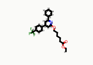 CCOC(=O)CCCCCOc1cc(-c2ccc(C(F)(F)F)cc2)cc(-c2ccccc2)n1